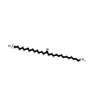 CCCCCCCCCCCCCCC(=O)CCCCCCCCCCCCCC